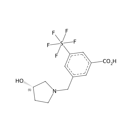 O=C(O)c1cc(CN2CC[C@H](O)C2)cc(S(F)(F)(F)(F)F)c1